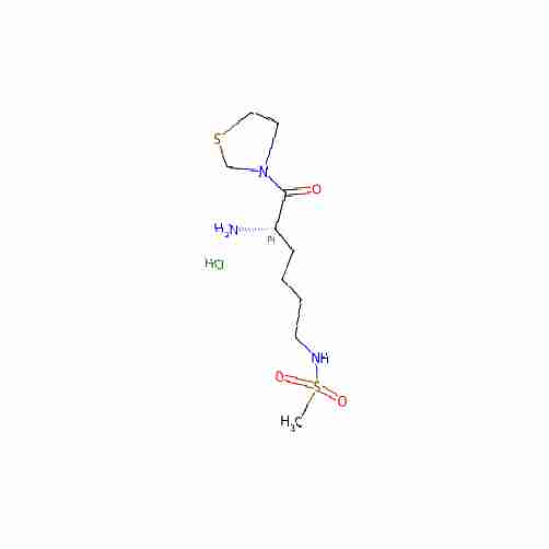 CS(=O)(=O)NCCCC[C@H](N)C(=O)N1CCSC1.Cl